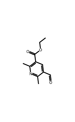 CCOC(=O)c1cc(C=O)c(C)nc1C